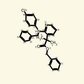 CC(C)(C(=O)OCc1ccccc1)c1cccnc1N(Cc1ccccc1)c1ccc(Cl)cc1